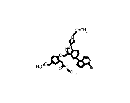 CCOC(=O)Cc1cc(COC)ccc1OCc1nn(C2CN(CCOC)C2)c2ccc(-c3cccc4c(Br)nccc34)cc12